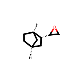 C1OC1[C@@H]1C[C@H]2CC[C@@H]1C2